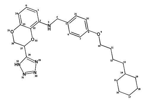 c1cc(NCc2ccc(OCCCCC3CCCCC3)cc2)c2c(c1)OCC(c1nnn[nH]1)O2